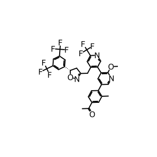 COc1ncc(-c2ccc(C(C)=O)cc2C)cc1-c1cnc(C(F)(F)F)cc1CC1=NO[C@H](c2cc(C(F)(F)F)cc(C(F)(F)F)c2)C1